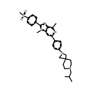 Cc1nc(-c2ccc(N3CC4(CCN(CC(C)C)CC4)C3)cc2)cc2c1nc(-c1ccc(S(C)(=O)=O)cc1)n2C